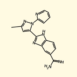 Cc1cc(-c2nc3cc(C(=N)N)ccc3[nH]2)n(-c2ccccn2)n1